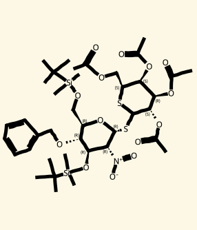 CC(=O)OC[C@@H]1SC(S[C@H]2O[C@H](CO[Si](C)(C)C(C)(C)C)[C@@H](OCc3ccccc3)[C@H](O[Si](C)(C)C(C)(C)C)[C@H]2[N+](=O)[O-])[C@@H](OC(C)=O)[C@H](OC(C)=O)[C@@H]1OC(C)=O